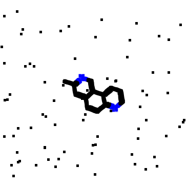 Cc1cc2ccc3ncccc3c2cn1